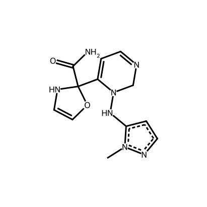 Cn1nccc1NN1CN=CC=C1C1(C(N)=O)NC=CO1